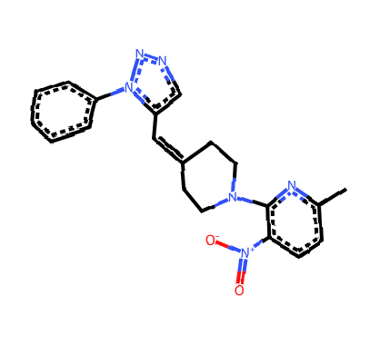 Cc1ccc([N+](=O)[O-])c(N2CCC(=Cc3cnnn3-c3ccccc3)CC2)n1